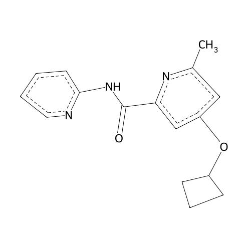 Cc1cc(OC2CCC2)cc(C(=O)Nc2ccccn2)n1